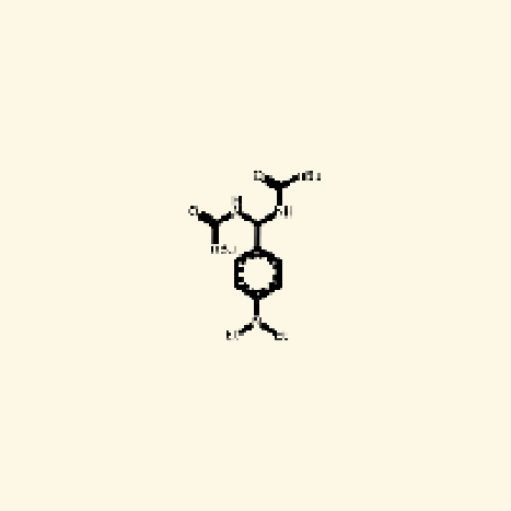 CCCCC(=O)NC(NC(=O)CCCC)c1ccc(N(CC)CC)cc1